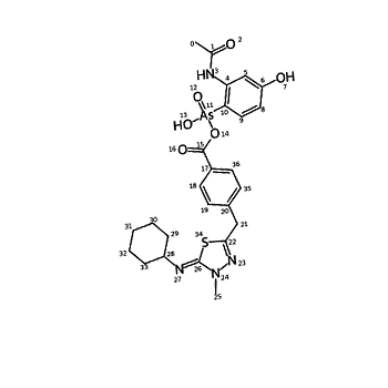 CC(=O)Nc1cc(O)ccc1[As](=O)(O)OC(=O)c1ccc(Cc2nn(C)c(=NC3CCCCC3)s2)cc1